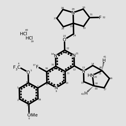 COc1ccc(OC(F)(F)F)c(-c2ncc3c(N4C[C@H]5CC[C@@H](C4)N5)nc(OCC45CCCN4CC(F)C5)nc3c2F)c1.Cl.Cl